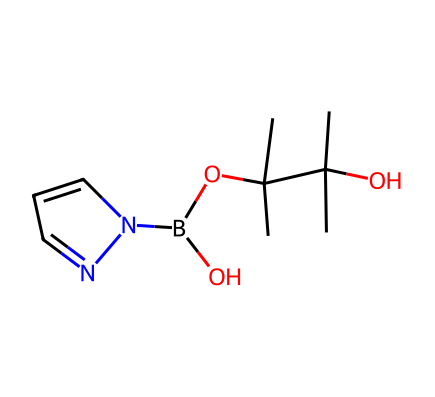 CC(C)(O)C(C)(C)OB(O)n1cccn1